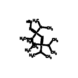 CCCCN=P(N=P(N(C)C)(N(C)C)N(C)C)(N(C)C)N(C)C